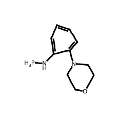 [PH4]Nc1ccccc1N1CCOCC1